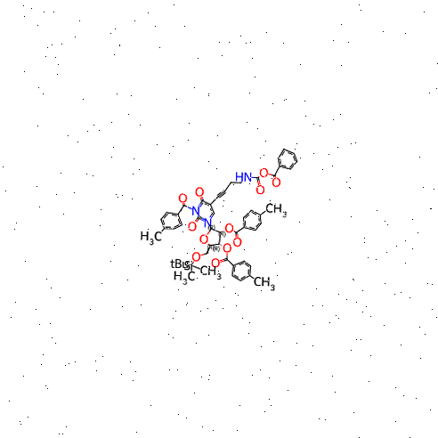 Cc1ccc(C(=O)O[C@@H]2[C@H](OC(=O)c3ccc(C)cc3)[C@@H](CO[Si](C)(C)C(C)(C)C)O[C@H]2n2cc(C#CCCNC(=O)OC(=O)c3ccccc3)c(=O)n(C(=O)c3ccc(C)cc3)c2=O)cc1